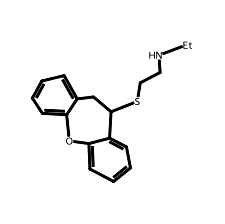 CCNCCSC1Cc2ccccc2Oc2ccccc21